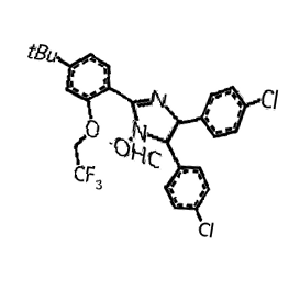 CC(C)(C)c1ccc(C2=NC(c3ccc(Cl)cc3)C(c3ccc(Cl)cc3)N2[C]=O)c(OCC(F)(F)F)c1